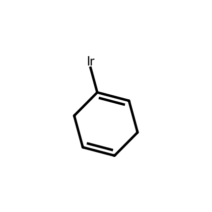 [Ir][C]1=CCC=CC1